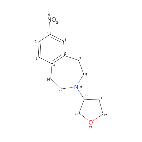 O=[N+]([O-])c1ccc2c(c1)CCN(C1CCOC1)CC2